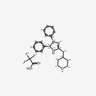 O=C(O)C(F)(F)F.c1ccc([C@H]2N=C(CC3CCOCC3)N[C@H]2c2ccccc2)cc1